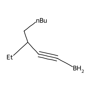 BC#CC(CC)CCCCC